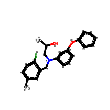 OC(CN(Cc1cc(C(F)(F)F)ccc1F)c1cccc(Oc2ccccc2)c1)C(F)(F)F